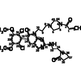 C=CC(=O)N1CCN(CCCn2c(=O)c(-c3c(Cl)c(OC)cc(OC)c3Cl)cc3cnc(NCCN4CCCC4=O)nc32)CC1